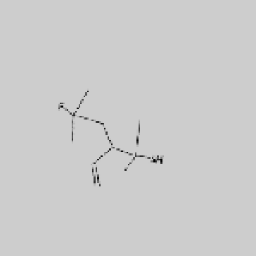 C=CC(CC(C)(C)F)C(C)(C)S